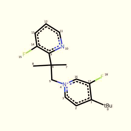 CC(C)(C)c1cc[n+](CC(C)(C)c2ncccc2F)cc1F